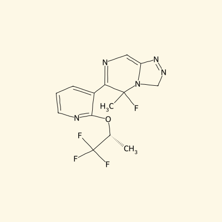 C[C@@H](Oc1ncccc1C1=NC=C2N=NCN2C1(C)F)C(F)(F)F